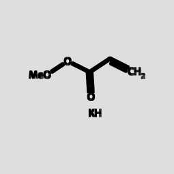 C=CC(=O)OOC.[KH]